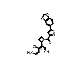 C=C/C(=C(Cl)\C=C/C)C1CCN1C(=O)c1cc(-c2ccc3c(c2)OCO3)on1